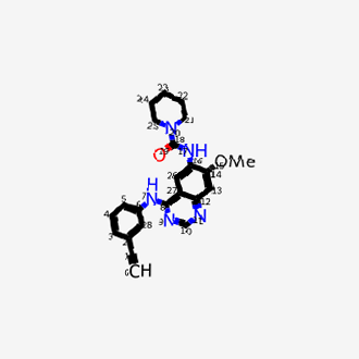 C#Cc1cccc(Nc2ncnc3cc(OC)c(NC(=O)N4CCCCC4)cc23)c1